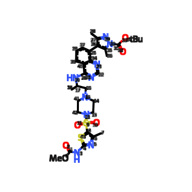 COC(=O)Nc1nc(C)c(S(=O)(=O)N2CCN(CC(C)Nc3ncnc4c(-c5c(C)nn(C(=O)OC(C)(C)C)c5C)cccc34)CC2)s1